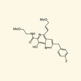 COCC=Cc1nc(C(=O)NCCOC)c(O)c2ncc(Cc3ccc(F)cc3)cc12